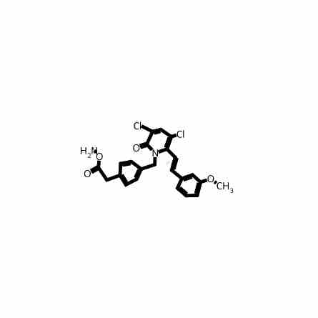 COc1cccc(/C=C/c2c(Cl)cc(Cl)c(=O)n2Cc2ccc(CC(=O)ON)cc2)c1